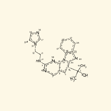 CC(C)(O)c1cc2cnc(NCCn3ccnc3)nc2n2c1nc1ccccc12